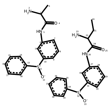 CC(N)C(=O)Nc1cccc([S+]([O-])c2ccccc2)c1.CCC(N)C(=O)Nc1cccc([S+]([O-])c2ccccc2)c1